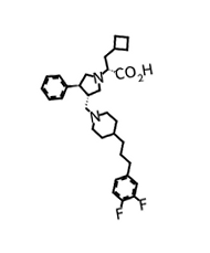 O=C(O)[C@@H](CC1CCC1)N1C[C@H](CN2CCC(CCCc3ccc(F)c(F)c3)CC2)[C@@H](c2ccccc2)C1